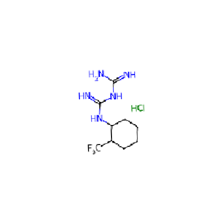 Cl.N=C(N)NC(=N)NC1CCCCC1C(F)(F)F